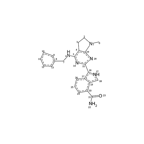 CN1CCc2c(NCc3ccccc3)nc(-c3[nH]cc4c(C(N)=O)cccc34)nc21